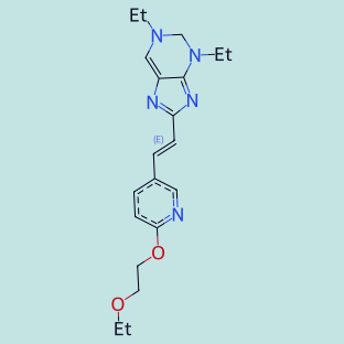 CCOCCOc1ccc(/C=C/C2=NC3=CN(CC)CN(CC)C3=N2)cn1